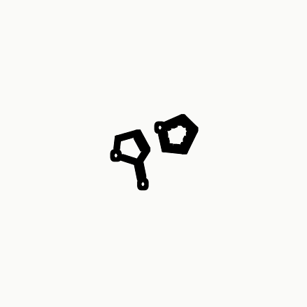 O=C1C=CCO1.c1ccoc1